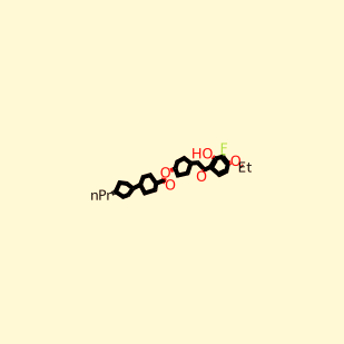 CCCC1CCC(C2CCC(C(=O)OC3CCC(CC(=O)c4ccc(OCC)c(F)c4O)CC3)CC2)CC1